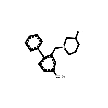 CCOC(=O)c1ccc(-c2ccccc2)c(CN2CCCC(C(F)(F)F)C2)c1